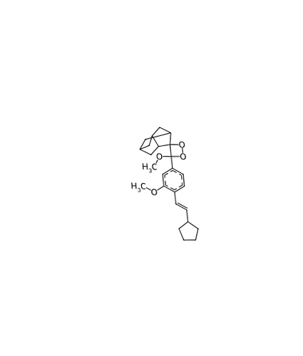 COc1cc(C2(OC)OOC23C2CC4CC(C2)C3C4)ccc1/C=C/C1CCCC1